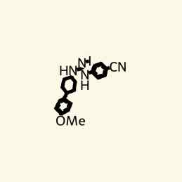 COc1ccc(C2CCC(N/C(=N/I)Nc3ccc(C#N)cc3)CC2)cc1